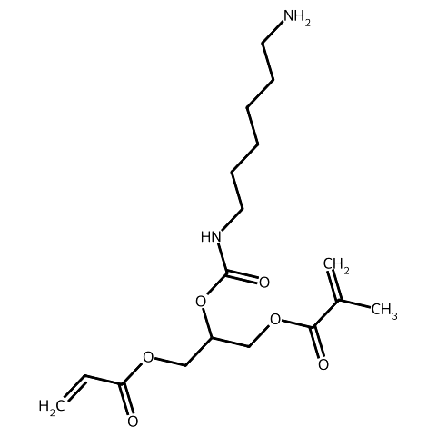 C=CC(=O)OCC(COC(=O)C(=C)C)OC(=O)NCCCCCCN